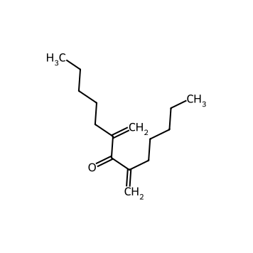 C=C(CCCCC)C(=O)C(=C)CCCCC